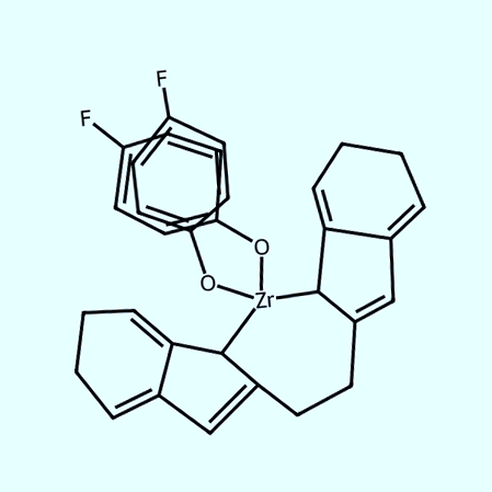 Fc1ccc([O][Zr]2([O]c3ccc(F)cc3)[CH]3C(=CC4=CCCC=C43)CCC3=CC4=CCCC=C4[CH]32)cc1